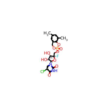 Cc1cc(C)c2c(c1)COP(=O)(OC[C@@]1(F)O[C@@H](n3cc(Cl)c(=O)[nH]c3=O)[C@H](O)[C@@H]1O)O2